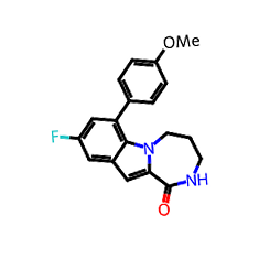 COc1ccc(-c2cc(F)cc3cc4n(c23)CCCNC4=O)cc1